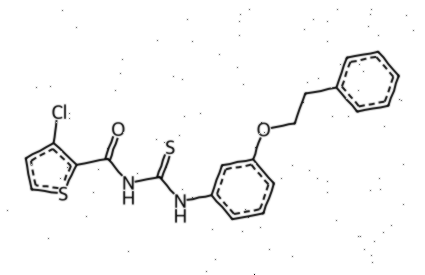 O=C(NC(=S)Nc1cccc(OCCc2ccccc2)c1)c1sccc1Cl